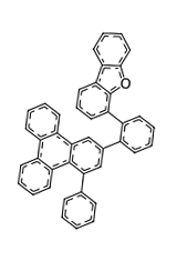 c1ccc(-c2cc(-c3ccccc3-c3cccc4c3oc3ccccc34)cc3c4ccccc4c4ccccc4c23)cc1